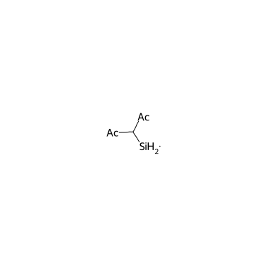 CC(=O)C([SiH2])C(C)=O